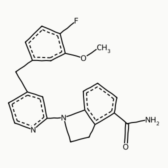 COc1cc(Cc2ccnc(N3CCc4c(C(N)=O)cccc43)c2)ccc1F